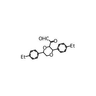 CCc1ccc(C2COC(c3ccc(CC)cc3)C(C(=O)C=O)O2)cc1